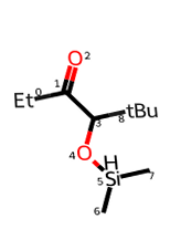 CCC(=O)C(O[SiH](C)C)C(C)(C)C